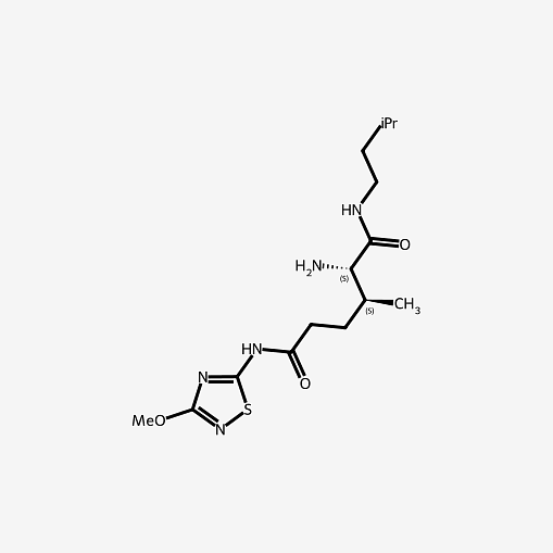 COc1nsc(NC(=O)CC[C@H](C)[C@H](N)C(=O)NCCC(C)C)n1